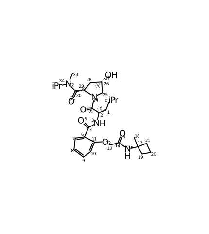 CC(C)C[C@@H](NC(=O)c1ccccc1OCC(=O)NC1(C)CCC1)C(=O)N1C[C@@H](O)C[C@@H]1C(=O)N(C)C(C)C